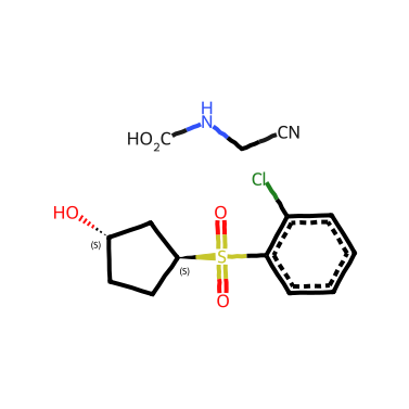 N#CCNC(=O)O.O=S(=O)(c1ccccc1Cl)[C@H]1CC[C@H](O)C1